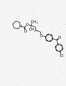 CC(C)(CCCOc1ccc(C(=O)c2ccc(Cl)cc2)cc1)OC(=O)N1CCCCC1